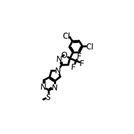 CSc1ncc2c(n1)CN(C1=NOC(c3cc(Cl)cc(Cl)c3)(C(F)(F)F)C1)C2